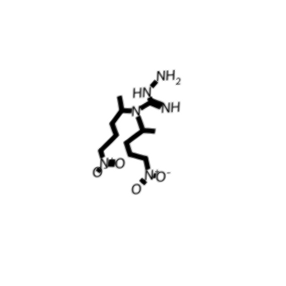 CC(CCC[N+](=O)[O-])N(C(=N)NN)C(C)CCC[N+](=O)[O-]